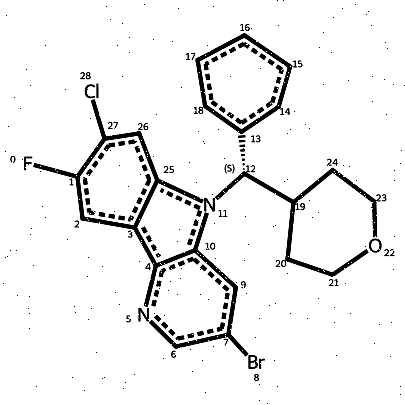 Fc1cc2c3ncc(Br)cc3n([C@H](c3ccccc3)C3CCOCC3)c2cc1Cl